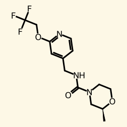 C[C@H]1CN(C(=O)NCc2ccnc(OCC(F)(F)F)c2)CCO1